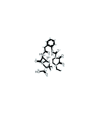 CCN1CCN(C(=O)Nc2ccccc2CC(=O)NC2C(=O)N3[C@@H]2SC(C)(C)[C@@H]3C(=O)O)C(=O)C1=O